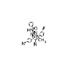 CC1=C(C#N)[C@@H](c2ccc(C#N)cc2)n2nc(NC(=O)c3ccccc3)nc2N1c1cccc(CF)c1